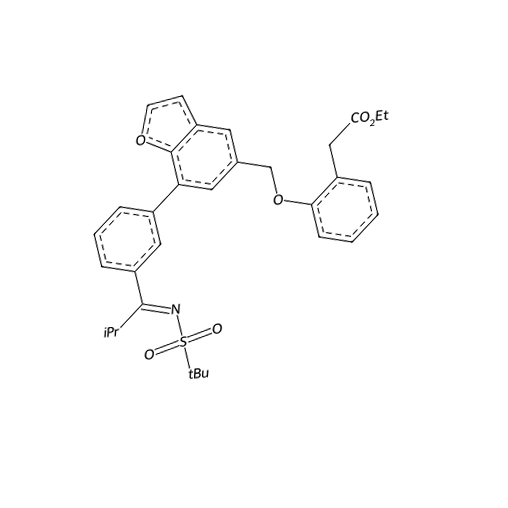 CCOC(=O)Cc1ccccc1OCc1cc(-c2cccc(C(=NS(=O)(=O)C(C)(C)C)C(C)C)c2)c2occc2c1